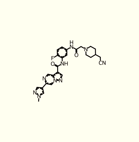 Cn1cc(-c2cn3ncc(C(=O)Nc4cc(NC(=O)CN5CCC(CC#N)CC5)ccc4F)c3cn2)cn1